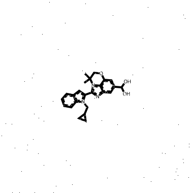 CC1(C)COc2cc(C(O)O)cc3nc(-c4cc5ccccc5n4CC4CC4)n1c23